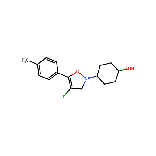 O[C@H]1CC[C@@H](N2CC(Cl)=C(c3ccc(C(F)(F)F)cc3)O2)CC1